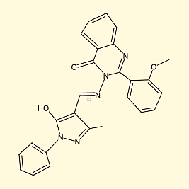 COc1ccccc1-c1nc2ccccc2c(=O)n1/N=C/c1c(C)nn(-c2ccccc2)c1O